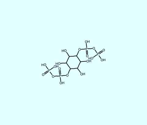 O=P(O)(O)OP(=O)(O)OC1C(O)C(O)C(OP(=O)(O)OP(=O)(O)O)C(O)C1O